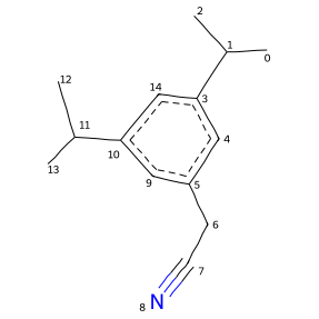 CC(C)c1cc(CC#N)cc(C(C)C)c1